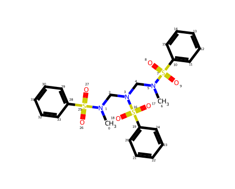 CN(CN(CN(C)S(=O)(=O)c1ccccc1)S(=O)(=O)c1ccccc1)S(=O)(=O)c1ccccc1